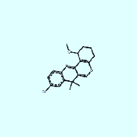 COC1CCCC2=C1C1=Nc3ccc(Br)cc3C(C)(C)C1=CO2